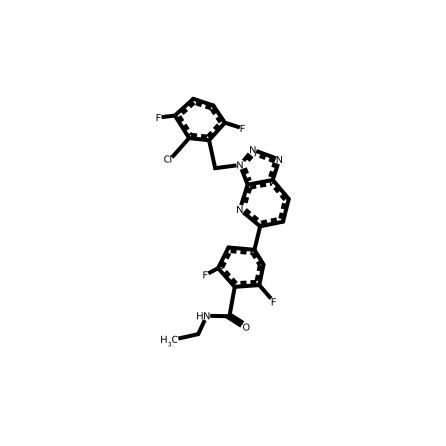 CCNC(=O)c1c(F)cc(-c2ccc3nnn(Cc4c(F)ccc(F)c4Cl)c3n2)cc1F